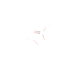 CC(C)O.[O]=[Ti]([OH])[OH]